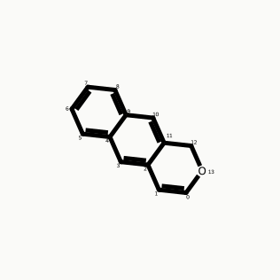 C1=Cc2cc3ccccc3cc2CO1